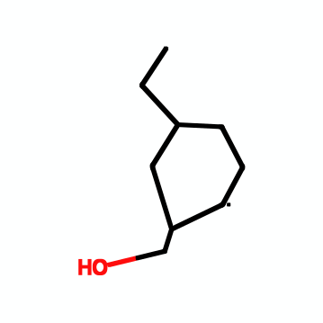 CCC1CC[CH]C(CO)C1